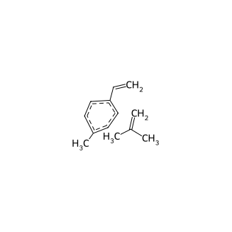 C=C(C)C.C=Cc1ccc(C)cc1